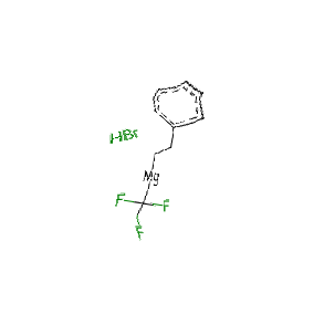 Br.F[C](F)(F)[Mg][CH2]Cc1ccccc1